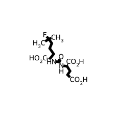 CC(C)(F)CCC[C@H](NC(=O)N[C@@H](CCC(=O)O)C(=O)O)C(=O)O